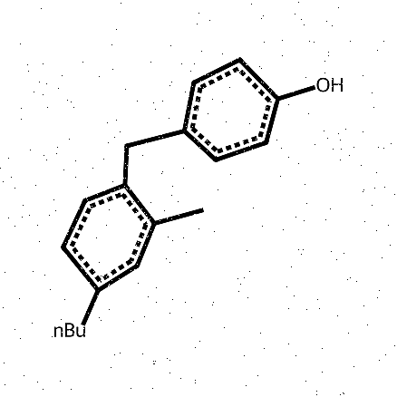 CCCCc1ccc(Cc2ccc(O)cc2)c(C)c1